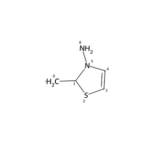 [CH2]C1SC=CN1N